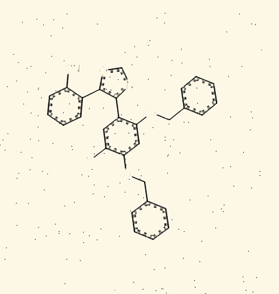 CC(C)c1cc(-c2ncoc2-c2ccccc2C#N)c(OCc2ccccc2)cc1OCc1ccccc1